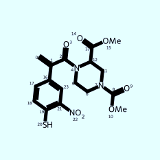 C=C(C(=O)N1CCN(C(=O)OC)CC1C(=O)OC)c1ccc(S)c([N+](=O)[O-])c1